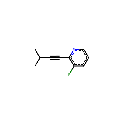 CC(C)C#Cc1ncccc1F